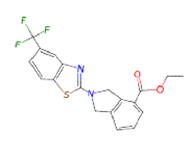 CCOC(=O)c1cccc2c1CN(c1nc3cc(C(F)(F)F)ccc3s1)C2